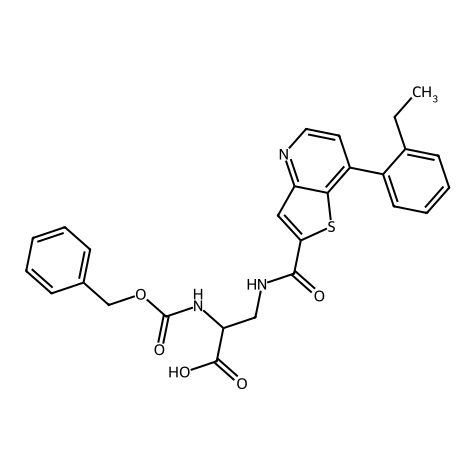 CCc1ccccc1-c1ccnc2cc(C(=O)NCC(NC(=O)OCc3ccccc3)C(=O)O)sc12